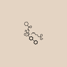 COC(=O)CCC/C=C\C[C@H]1[C@H](/C=C/C(=O)C2CCCCC2)[C@@H]2C[C@@]1(c1ccc(-c3ccccc3)cc1)CO2